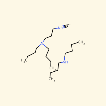 CCCCNCCCC.[C-]#[N+]CCCN(CCCC)CCCC